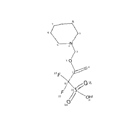 O=C(OCN1CCCCC1)C(F)(F)S(=O)(=O)O